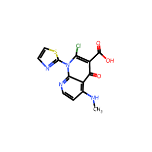 CNc1ccnc2c1c(=O)c(C(=O)O)c(Cl)n2-c1nccs1